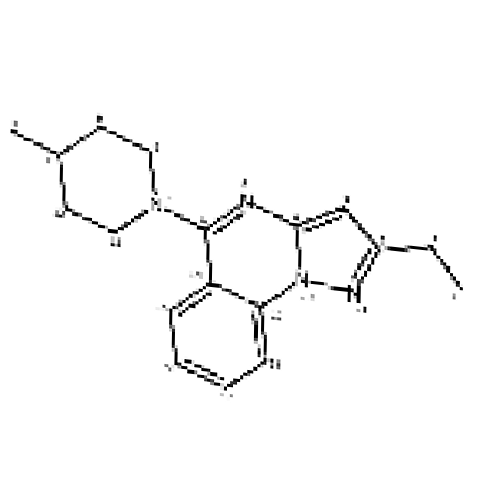 CCc1cc2nc(N3CCC(C)CC3)c3ccccc3n2n1